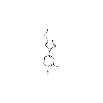 Clc1ccc(-n2cc(CI)nn2)cc1Cl